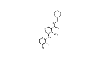 O=C(NCC1CCCCC1)c1cncc(Nc2cccc(Cl)c2Cl)c1C(F)(F)F